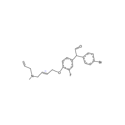 C=CCN(C)C/C=C/COc1ccc(C(C=O)c2ccc(Br)cc2)cc1F